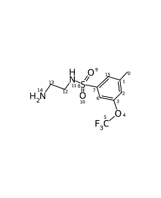 Cc1cc(OC(F)(F)F)cc(S(=O)(=O)NCCN)c1